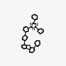 c1ccc(-c2nc(-c3ccccc3)nc(-c3cccc(-c4ccc(-c5cccc6c5Cc5c(-c7ccccc7)cccc5-6)cc4)c3)n2)cc1